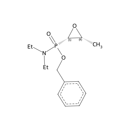 CCN(CC)P(=O)(OCc1ccccc1)[C@@H]1O[C@@H]1C